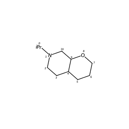 CC(C)N1CCC2CCCOC2C1